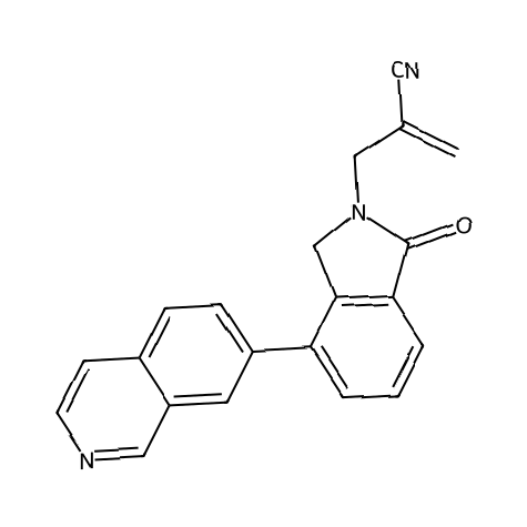 C=C(C#N)CN1Cc2c(cccc2-c2ccc3ccncc3c2)C1=O